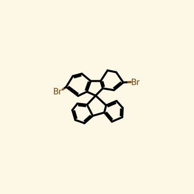 BrC1=CC2=C(CC1)c1ccc(Br)cc1C21c2ccccc2-c2ccccc21